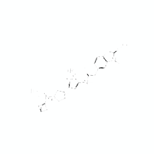 CN1C(=C=O)Oc2ccc(CC(=O)Nc3cc([C@H]4CC[C@@H](N(C(=O)O)C56CC(C5)C6)C4)nn3C(C)(C)C)cc21